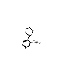 COc1c[c]ccc1N1CCCCC1